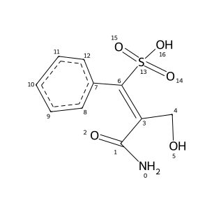 NC(=O)C(CO)=C(c1ccccc1)S(=O)(=O)O